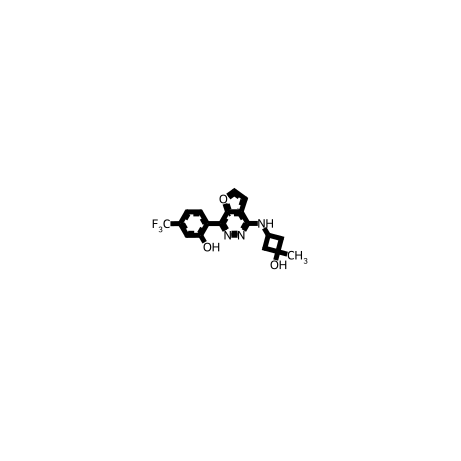 CC1(O)CC(Nc2nnc(-c3ccc(C(F)(F)F)cc3O)c3occc23)C1